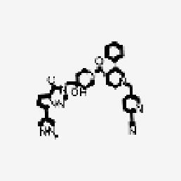 Cn1cc(-c2ccc3c(=O)n(CC4(O)CCN(C(=O)[C@@H]5CCN(Cc6ccc(C#N)nc6)C[C@H]5c5ccccc5)CC4)cnn23)cn1